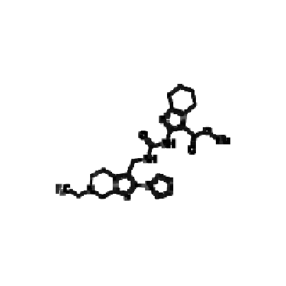 CC(C)(C)OC(=O)c1c(NC(=O)NCc2c(-n3cccc3)sc3c2CCN(CC(F)(F)F)C3)sc2c1CCCC2